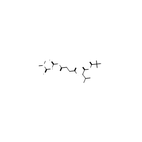 CC(C)[C@H](NC(=O)CCC(=O)NC(=N)NC(=N)N(C)C)C(=O)OC(=O)C(F)(F)F